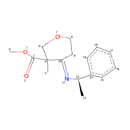 COC(=O)C1(C)COCCC1=N[C@H](C)c1ccccc1